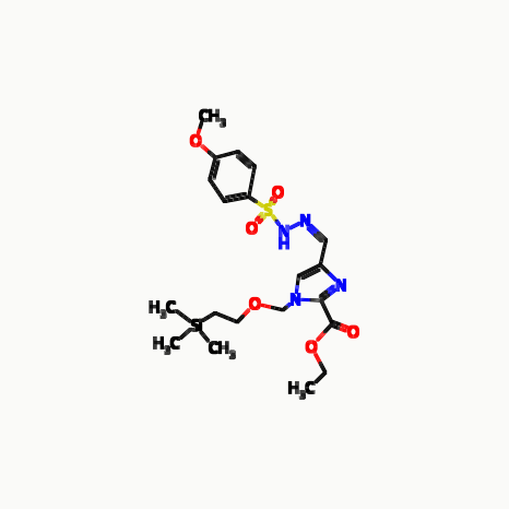 CCOC(=O)c1nc(/C=N\NS(=O)(=O)c2ccc(OC)cc2)cn1COCC[Si](C)(C)C